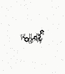 O=C(Nc1cc(C(F)(F)F)ccc1Cl)c1cc2nc(-c3cccs3)cc(C(F)(F)F)n2n1